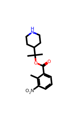 Cc1c(C(=O)OC(C)(C)C2CCNCC2)cccc1[N+](=O)[O-]